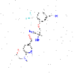 CN1CCOc2cc(C(=O)NC(C)(C#N)COc3cc(C#N)ccc3C(F)(F)F)cnc21